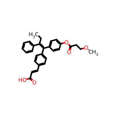 CCC(=C(c1ccc(C=CC(=O)O)cc1)c1ccc(OC(=O)CCOC)cc1)c1ccccc1